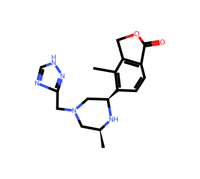 Cc1c([C@@H]2CN(Cc3nc[nH]n3)C[C@H](C)N2)ccc2c1COC2=O